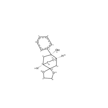 O[C@@]1(c2ccccc2)C[C@H]2CC[C@@H]1CC21OCCO1